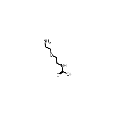 NCCOCCNC(=O)O